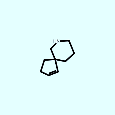 C1=CC2(CC1)CCCNC2